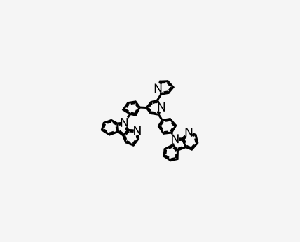 c1ccc(-c2cc(-c3cccc(-n4c5ccccc5c5cccnc54)c3)cc(-c3ccc(-n4c5ccccc5c5cccnc54)cc3)n2)nc1